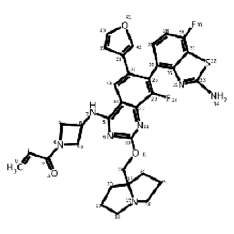 C=CC(=O)N1CC(Nc2nc(OCC34CCCN3CCC4)nc3c(F)c(-c4ccc(F)c5sc(N)nc45)c(-c4ccoc4)cc23)C1